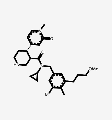 COCCCc1cc(CN(C(=O)[C@H]2CNCC[C@@H]2c2ccn(C)c(=O)c2)C2CC2)cc(Br)c1C